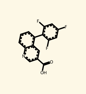 O=C(O)c1cnc2cccc(-c3c(F)cc(F)cc3F)c2c1